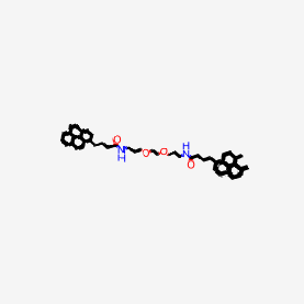 C=c1ccc2ccc(CCCC(=O)NCCCOCCOCCCNC(=O)CCCc3ccc4ccc5cccc6ccc3c4c56)c3ccc(C)c1c23